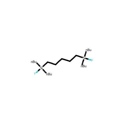 CCCC[Si](F)(CCCC)CCCCC[Si](F)(CCCC)CCCC